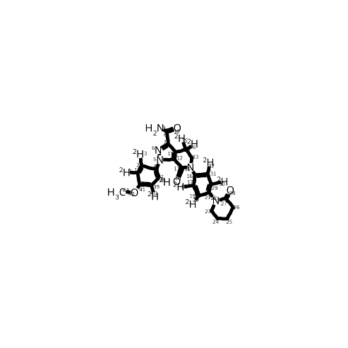 [2H]c1c([2H])c(-n2nc(C(N)=O)c3c2C(=O)N(c2c([2H])c([2H])c(N4CCCCC4=O)c([2H])c2[2H])CC3([2H])[2H])c([2H])c([2H])c1OC